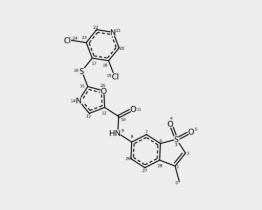 CC1=CS(=O)(=O)c2cc(NC(=O)c3cnc(Sc4c(Cl)cncc4Cl)o3)ccc21